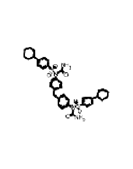 NC(=O)N(c1ccc(Cc2ccc(N(C(N)=O)S(=O)(=O)c3ccc(C4CCCCC4)cc3)cc2)cc1)S(=O)(=O)c1ccc(C2CCCCC2)cc1